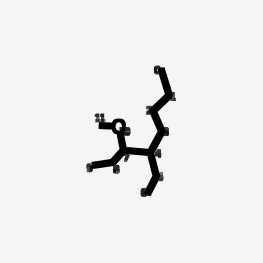 CCCCC(CC)C(CC)OC